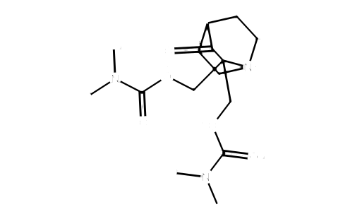 CN(C)C(=O)OCC1(COC(=O)N(C)C)C(=O)C2CCN1CC2